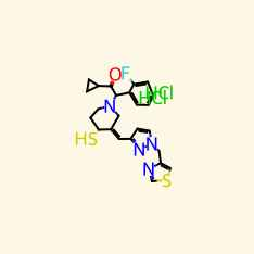 Cl.Cl.O=C(C1CC1)C(c1ccccc1F)N1CCC(S)C(=Cc2ccn(Cc3cscn3)n2)C1